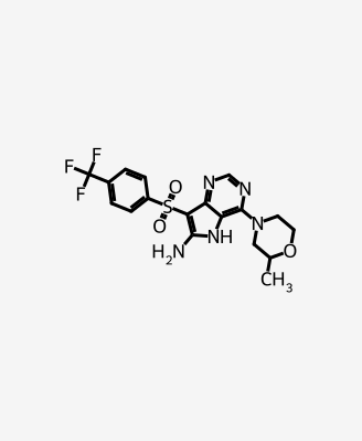 CC1CN(c2ncnc3c(S(=O)(=O)c4ccc(C(F)(F)F)cc4)c(N)[nH]c23)CCO1